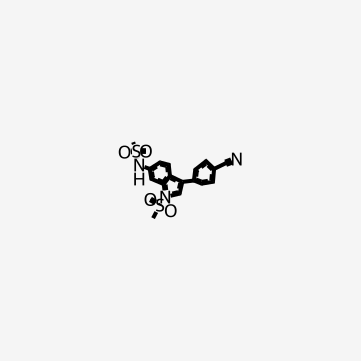 CS(=O)(=O)Nc1ccc2c(-c3ccc(C#N)cc3)cn(S(C)(=O)=O)c2c1